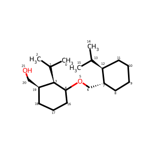 CC(C)[C@H]1C(OC[C@H]2CCCC[C@@H]2C(C)C)CCC[C@H]1CO